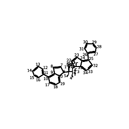 CCC[CH]=[Hf]([CH3])([CH3])([CH3])([CH]1C=Cc2c(-c3ccccc3)cccc21)[CH]1C=Cc2c(-c3ccccc3)cccc21